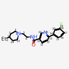 CCC1CCN(CCNC(=O)c2ccc(-c3cccc(F)c3)nc2)CC1